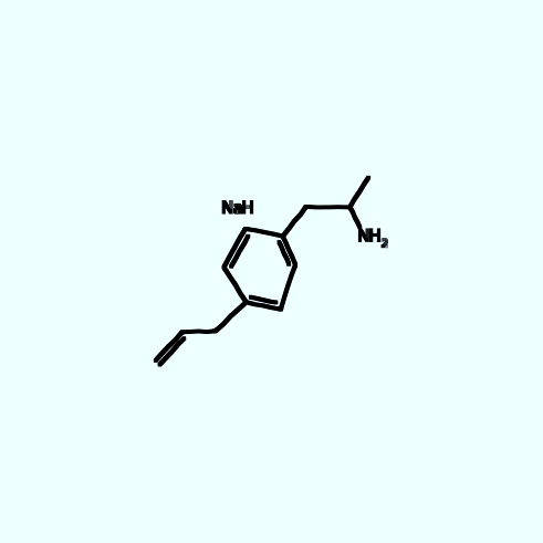 C=CCc1ccc(CC(C)N)cc1.[NaH]